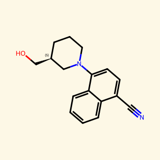 N#Cc1ccc(N2CCC[C@H](CO)C2)c2ccccc12